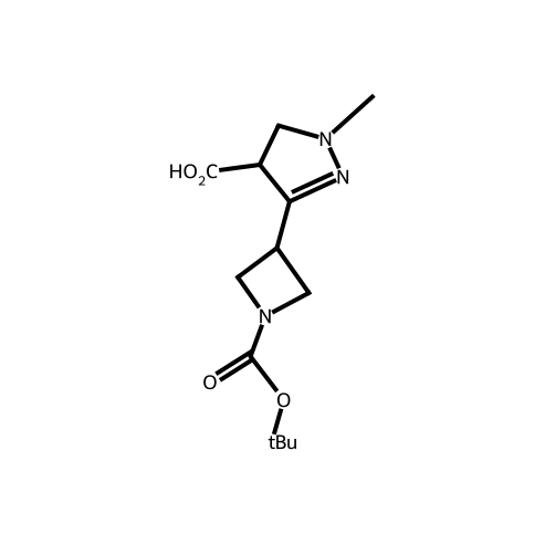 CN1CC(C(=O)O)C(C2CN(C(=O)OC(C)(C)C)C2)=N1